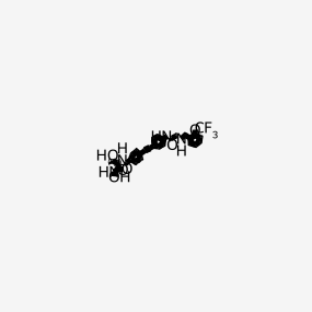 C[C@@H](O)[C@H](NC(=O)c1ccc(C#Cc2ccc(NC(=O)CNCc3ccccc3OC(F)(F)F)cc2)cc1)C(=O)NO